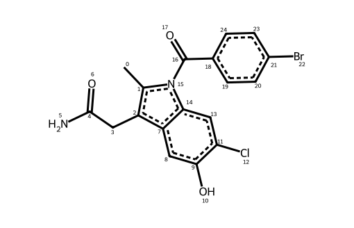 Cc1c(CC(N)=O)c2cc(O)c(Cl)cc2n1C(=O)c1ccc(Br)cc1